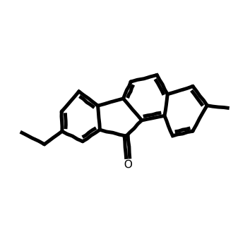 CCc1ccc2c(c1)C(=O)c1c-2ccc2cc(C)ccc12